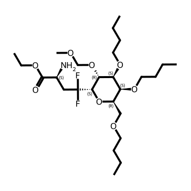 CCCCOC[C@H]1O[C@H](C(F)(F)C[C@H](N)C(=O)OCC)[C@H](OCOC)[C@@H](OCCCC)[C@H]1OCCCC